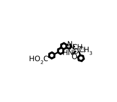 CC(OC(=O)Nc1c2c(ccc3cc(-c4ccc(C(=O)O)cc4)ccc32)nn1C)c1ccccc1